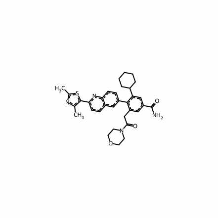 Cc1nc(C)c(-c2ccc3cc(-c4c(CC(=O)N5CCOCC5)cc(C(N)=O)cc4C4CCCCC4)ccc3n2)s1